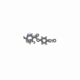 CC(N)/C=C\C(N)C(=O)Oc1ccc(C=O)cc1